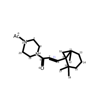 CC(=O)N1CCN(C(=O)/C=C/C23CC2(C)CCCC3(C)C)CC1